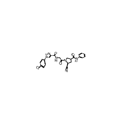 N#CC1CC(C(=O)Nc2ccccc2)CN1C(=O)CNC(=O)c1cn(-c2ccc(Cl)cc2)nn1